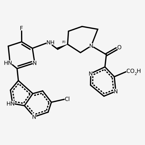 O=C(O)c1nccnc1C(=O)N1CCC[C@H](CNC2=C(F)CNC(c3c[nH]c4ncc(Cl)cc34)=N2)C1